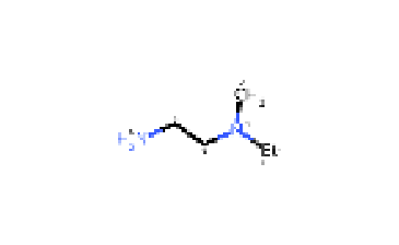 C[CH]N(C)CCN